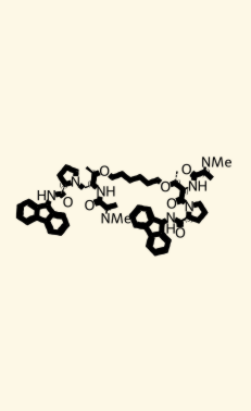 CN[C@@H](C)C(=O)N[C@H](C(=O)N1CCC[C@H]1C(=O)NC1c2ccccc2-c2ccccc21)[C@@H](C)OCCCCCCO[C@H](C)[C@@H](CN1CCC[C@H]1C(=O)NC1c2ccccc2-c2ccccc21)NC(=O)[C@H](C)NC